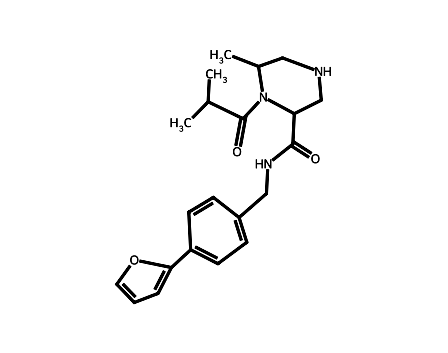 CC(C)C(=O)N1C(C)CNCC1C(=O)NCc1ccc(-c2ccco2)cc1